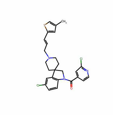 Cc1csc(C=CCN2CCC3(CC2)CN(C(=O)c2ccnc(Cl)c2)c2ccc(Cl)cc23)c1